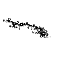 C=C1C[C@](OC)([C@H](O)C(=O)N[C@@H](OC)[C@@H]2C[C@@H](O)C(C)(C)[C@@H](C[C@H](O)COC(=O)NCCCNC(=O)OCc3ccc(NC(=O)[C@H](CCCNC(N)=O)NC(=O)[C@@H](N)C(C)C)cc3)O2)O[C@H](C)[C@@H]1C